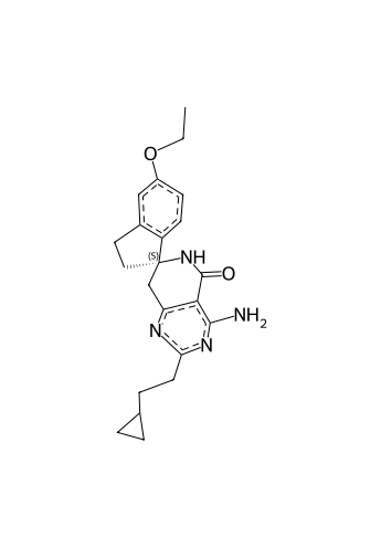 CCOc1ccc2c(c1)CC[C@]21Cc2nc(CCC3CC3)nc(N)c2C(=O)N1